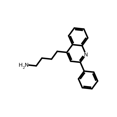 NCCCCc1cc(-c2ccccc2)nc2ccccc12